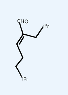 CC(C)CCC=C(C=O)CC(C)C